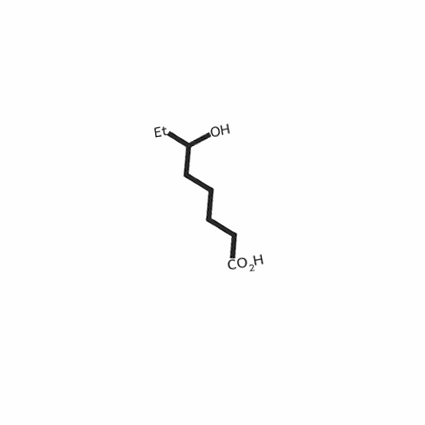 CC[C](O)CCCCC(=O)O